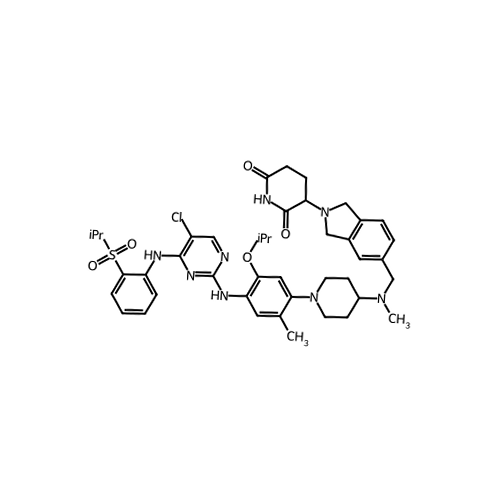 Cc1cc(Nc2ncc(Cl)c(Nc3ccccc3S(=O)(=O)C(C)C)n2)c(OC(C)C)cc1N1CCC(N(C)Cc2ccc3c(c2)CN(C2CCC(=O)NC2=O)C3)CC1